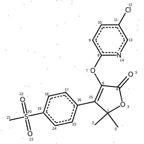 CC1(C)OC(=O)C(Oc2ccc(Cl)cn2)=C1c1ccc(S(C)(=O)=O)cc1